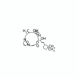 C=C1CCC[C@@H]2CC=C[C@@H](C/C=C\C(=O)OC([C@@H](O)/C=C/C3CCCC(C)(C)C3)C[C@@H]3O[C@H]3[C@@H](O)C1)O2